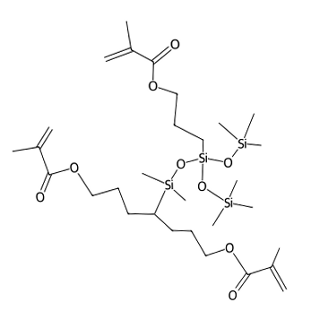 C=C(C)C(=O)OCCCC(CCCOC(=O)C(=C)C)[Si](C)(C)O[Si](CCCOC(=O)C(=C)C)(O[Si](C)(C)C)O[Si](C)(C)C